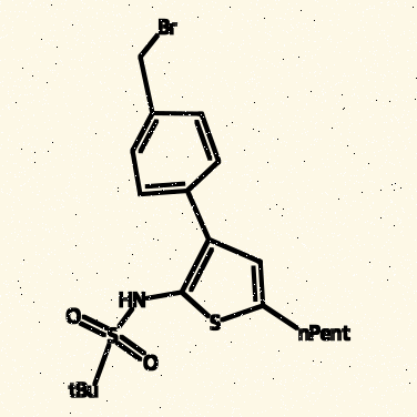 CCCCCc1cc(-c2ccc(CBr)cc2)c(NS(=O)(=O)C(C)(C)C)s1